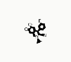 N#CC1=C(c2cccc(F)c2)C2=CC([O])C(=O)CC2=CN1C1CC1